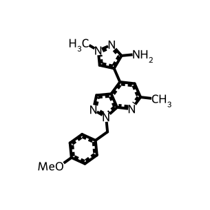 COc1ccc(Cn2ncc3c(-c4cn(C)nc4N)cc(C)nc32)cc1